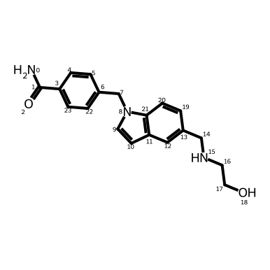 NC(=O)c1ccc(Cn2ccc3cc(CNCCO)ccc32)cc1